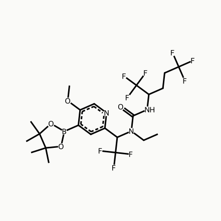 CCN(C(=O)NC(CCC(F)(F)F)C(F)(F)F)C(c1cc(B2OC(C)(C)C(C)(C)O2)c(OC)cn1)C(F)(F)F